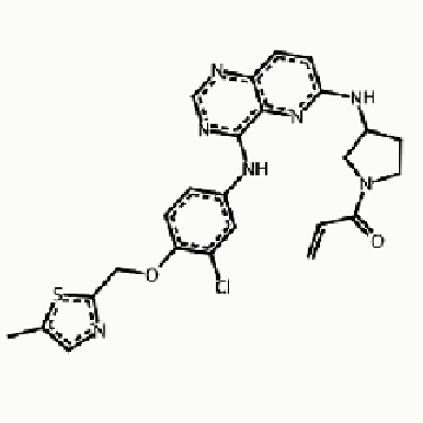 C=CC(=O)N1CCC(Nc2ccc3ncnc(Nc4ccc(OCc5ncc(C)s5)c(Cl)c4)c3n2)C1